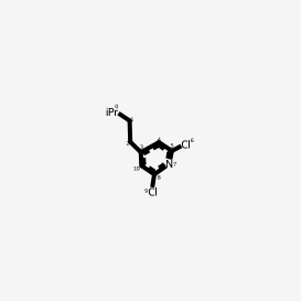 CC(C)CCc1cc(Cl)nc(Cl)c1